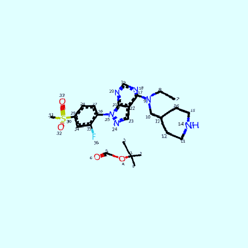 CC(C)(C)OC=O.CCN(CC1CCNCC1)c1ncnc2c1cnn2-c1ccc(S(C)(=O)=O)cc1F